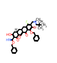 CN(Cc1c(F)c2c(c(OCc3ccccc3)c1Br)C(=O)C1=C3O[C@]34C(=O)C(C(=N)OCc3ccccc3)=C(O)C[C@@H]4CC1C2)CC(C)(C)C